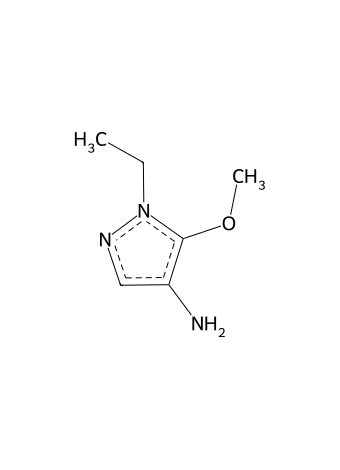 CCn1ncc(N)c1OC